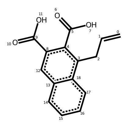 C=CCc1c(C(=O)O)c(C(=O)O)cc2ccccc12